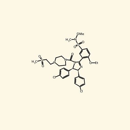 CCOc1ccc(S(=O)(=O)N(C)OC)cc1C1=N[C@@H](c2ccc(Cl)cc2)[C@@H](c2ccc(Cl)cc2)N1C(=O)N1CCN(CCS(C)(=O)=O)CC1